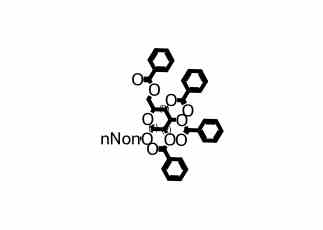 CCCCCCCCCO[C@H]1OC(COC(=O)c2ccccc2)[C@@H](OC(=O)c2ccccc2)C(OC(=O)c2ccccc2)[C@H]1OC(=O)c1ccccc1